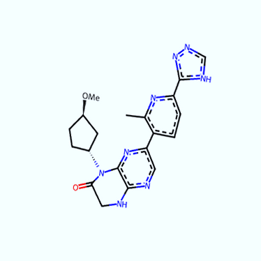 CO[C@@H]1CC[C@@H](N2C(=O)CNc3ncc(-c4ccc(-c5nnc[nH]5)nc4C)nc32)C1